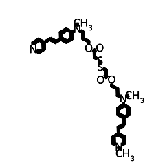 CN1C=CC(/C=C/c2ccc(N(C)CCCOC(=O)CSSCC(=O)OCCCN(C)c3ccc(/C=C/c4ccncc4)cc3)cc2)=CC1